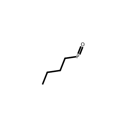 CCCCP=O